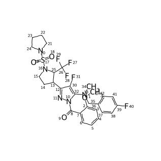 COc1ccccc1C(=O)n1nc(C2CCN(S(=O)(=O)N3CCCC3)C2C(F)(F)F)c(F)c1N(C)Cc1ccc(F)cc1